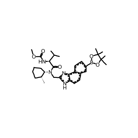 COC(=O)N[C@H](C(=O)N(Cc1nc2c(ccc3cc(B4OC(C)(C)C(C)(C)O4)ccc32)[nH]1)[C@H]1CCCC[C@H]1C)C(C)C